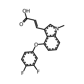 Cn1cc(C=CC(=O)O)c2c(Oc3ccc(F)c(F)c3)cccc21